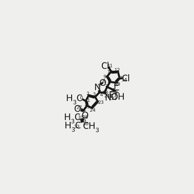 Cc1cc(C2=NOC(c3cc(Cl)cc(Cl)c3)(C(F)(F)F)C2=NO)ccc1C(=O)OC(C)(C)C